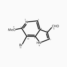 COc1ncc2c(C=O)c[nH]c2c1Br